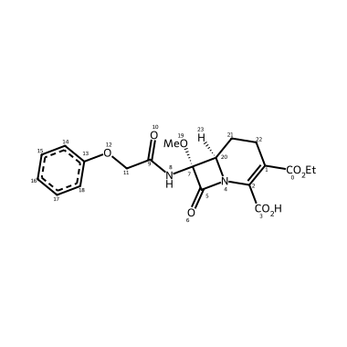 CCOC(=O)C1=C(C(=O)O)N2C(=O)[C@](NC(=O)COc3ccccc3)(OC)[C@H]2CC1